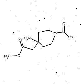 COC(=O)CC1(N)CCN(C(=O)O)CC1